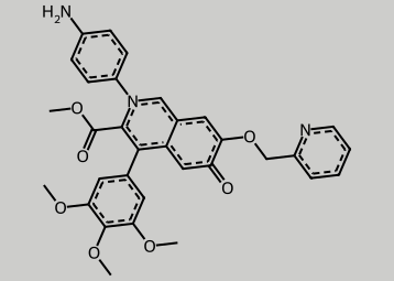 COC(=O)c1c(-c2cc(OC)c(OC)c(OC)c2)c2cc(=O)c(OCc3ccccn3)cc-2cn1-c1ccc(N)cc1